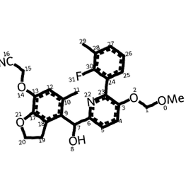 COCOc1ccc(C(O)c2c(C)cc(OCC#N)c3c2CCO3)nc1-c1cccc(C)c1F